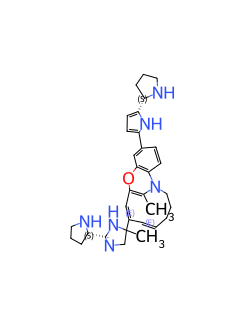 CC1=C2/C=C(C3(C)CN=C([C@@H]4CCCN4)N3)\C=C\CCCN1c1ccc(-c3ccc([C@@H]4CCCN4)[nH]3)cc1O2